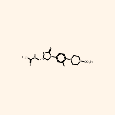 CCOC(=O)N1CCN(c2ccc(N3C[C@H](CNC(C)=S)OC3=O)cc2F)CC1